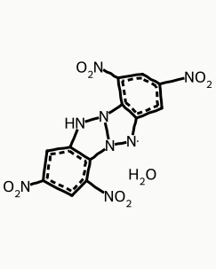 O.O=[N+]([O-])c1cc2c(c([N+](=O)[O-])c1)N1[N]c3cc([N+](=O)[O-])cc([N+](=O)[O-])c3N1N2